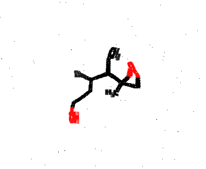 CCC(CCO)C(C)C1(C)CO1